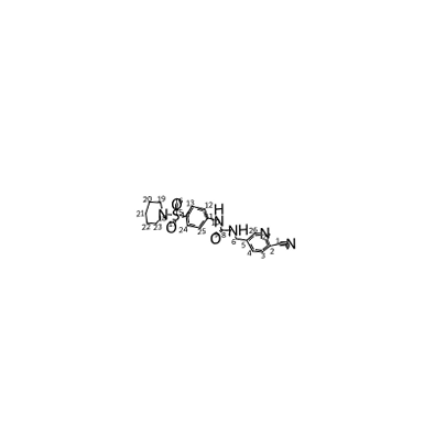 N#Cc1ccc(CNC(=O)Nc2ccc(S(=O)(=O)N3CCCCC3)cc2)cn1